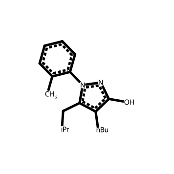 CCCCc1c(O)nn(-c2ccccc2C)c1CC(C)C